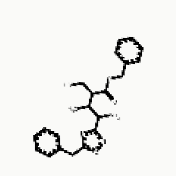 CC(C(CO)C(=O)OCc1ccccc1)C(N)c1noc(Cc2ccccc2)n1